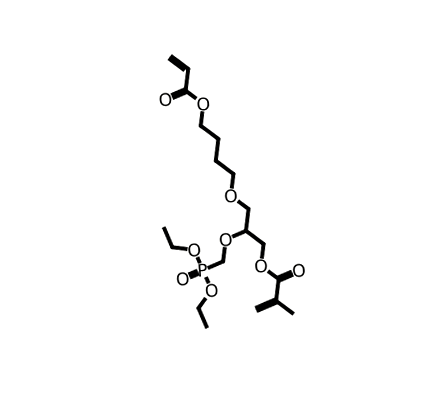 C=CC(=O)OCCCCOCC(COC(=O)C(=C)C)OCP(=O)(OCC)OCC